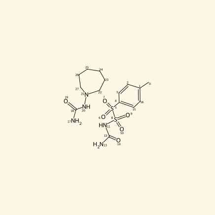 Cc1ccc(S(=O)(=O)S(=O)(=O)NC(N)=O)cc1.NC(=O)NN1CCCCCC1